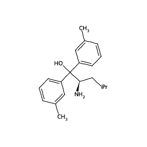 Cc1cccc(C(O)(c2cccc(C)c2)[C@H](N)CC(C)C)c1